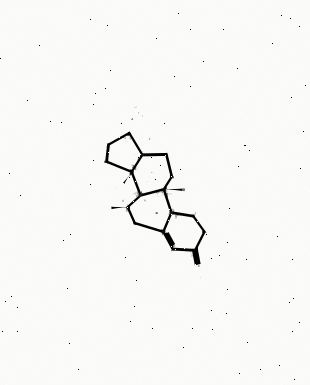 CC[C@@H]1CC2=CC(=O)CC[C@@H]2[C@H]2CC[C@]3(CC)[C@@H](C#N)CC[C@H]3[C@H]12